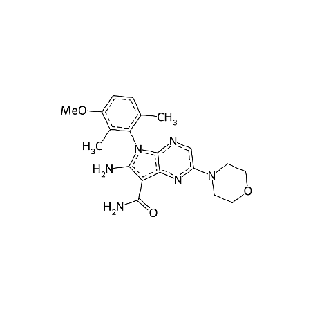 COc1ccc(C)c(-n2c(N)c(C(N)=O)c3nc(N4CCOCC4)cnc32)c1C